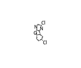 Clc1ccc2oc3ncc(Cl)nc3c2c1